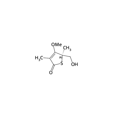 COC1=C(C)C(=O)S[C@]1(C)CO